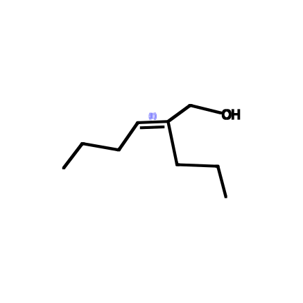 CCC/C=C(/CO)CCC